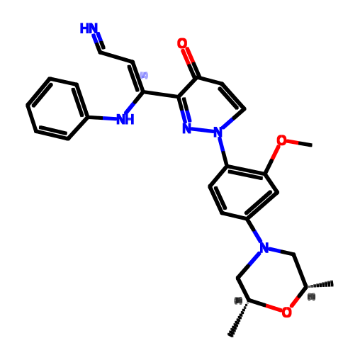 COc1cc(N2C[C@@H](C)O[C@@H](C)C2)ccc1-n1ccc(=O)c(/C(=C/C=N)Nc2ccccc2)n1